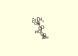 CCC(C)C(=O)OCC(O)COC(=O)CCSCC(C)C(O)CC